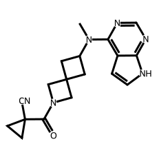 CN(c1ncnc2[nH]ccc12)C1CC2(C1)CN(C(=O)C1(C#N)CC1)C2